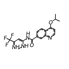 CN/C(=C\C(=N)C(F)(F)F)NC(=O)c1ccc2c(OC(C)C)ccnc2c1